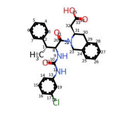 C[C@H](c1ccccc1)[C@H](NC(=O)Nc1cccc(Cl)c1)C(=O)N1Cc2ccccc2C[C@@H]1CC(=O)O